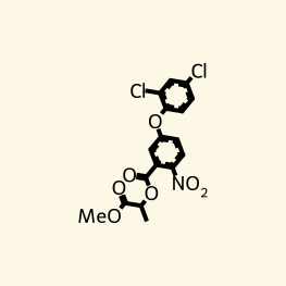 COC(=O)C(C)OC(=O)c1cc(Oc2ccc(Cl)cc2Cl)ccc1[N+](=O)[O-]